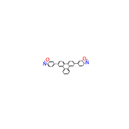 C1=CC2N=COC2C=C1c1ccc2c3ccc(-c4ccc5ncoc5c4)cc3c3ccccc3c2c1